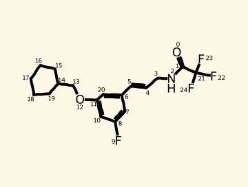 O=C(NCC=Cc1cc(F)cc(OCC2CCCCC2)c1)C(F)(F)F